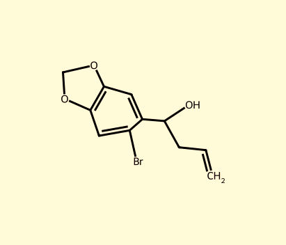 C=CCC(O)c1cc2c(cc1Br)OCO2